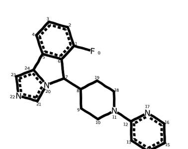 Fc1cccc2c1C(C1CCN(c3ccccn3)CC1)n1cncc1-2